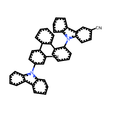 N#Cc1ccc2c(c1)c1ccccc1n2-c1ccccc1-c1ccccc1-c1ccc(-n2c3ccccc3c3ccccc32)cc1C#N